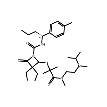 CCC[C@@H](NC(=O)N1C(=O)C(CC)(CC)C1OC(C)(C)C(=O)N(C)CCN(C)C(C)C)c1ccc(C)cc1